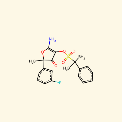 BC1(c2cccc(F)c2)OC(N)=C(OS(=O)(=O)C(B)(B)c2ccccc2)C1=O